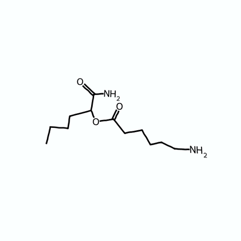 CCCCC(OC(=O)CCCCCN)C(N)=O